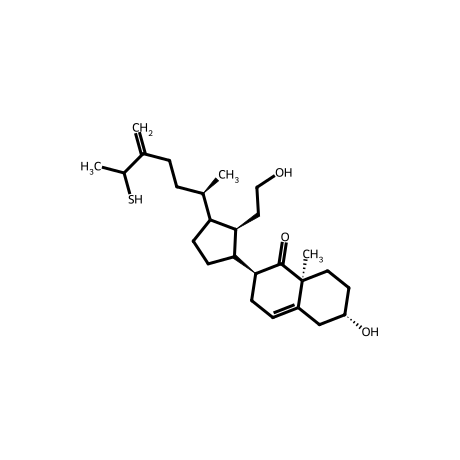 C=C(CC[C@@H](C)C1CCC([C@@H]2CC=C3C[C@@H](O)CC[C@]3(C)C2=O)[C@@H]1CCO)C(C)S